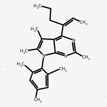 C/C=C(/CCC)c1nc(C)nc2c1c(C)c(C)n2-c1c(C)cc(C)cc1C